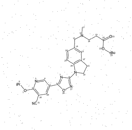 CC(C)Oc1ncc(-c2nc(N3CCc4cc(CN(C)CCC(=O)OC(C)(C)C)ccc43)no2)cc1C#N